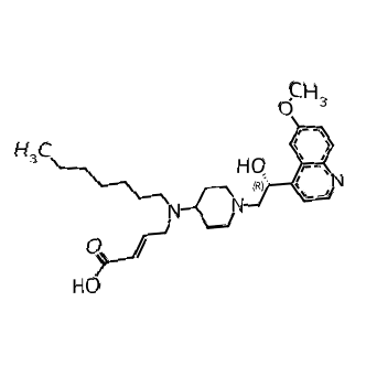 CCCCCCCN(CC=CC(=O)O)C1CCN(C[C@H](O)c2ccnc3ccc(OC)cc23)CC1